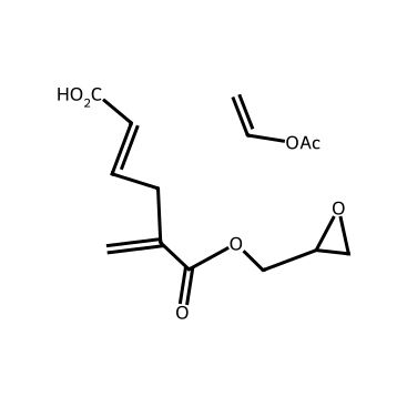 C=C(CC=CC(=O)O)C(=O)OCC1CO1.C=COC(C)=O